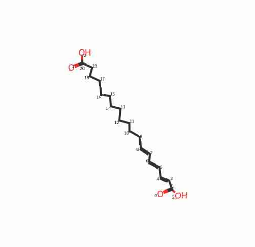 O=C(O)C=CC=CC=CCCCCCCCCCCCC(=O)O